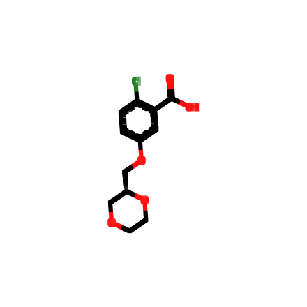 O=C(O)c1cc(OC[C@@H]2COCCO2)ccc1Cl